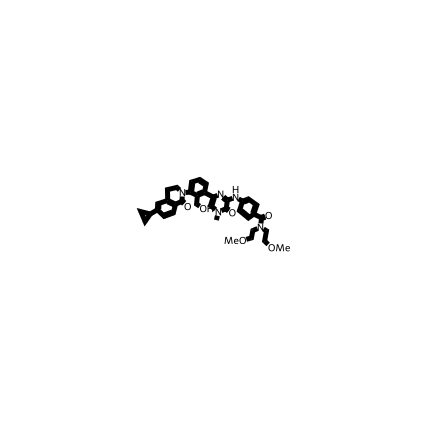 COCCN(CCOC)C(=O)c1ccc(Nc2nc(-c3cccc(N4CCc5cc(C6CC6)ccc5C4=O)c3CO)cn(C)c2=O)cc1